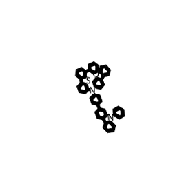 C1=CC2c3ccccc3N(c3ccccc3)C2C=C1c1ccc(N(c2ccc3c(c2)oc2ccccc23)c2cccc3c2sc2c(-c4ccccc4)cccc23)cc1